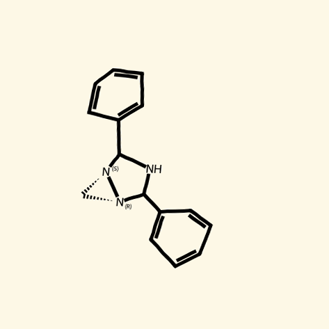 c1ccc(C2NC(c3ccccc3)[N@]3C[N@]23)cc1